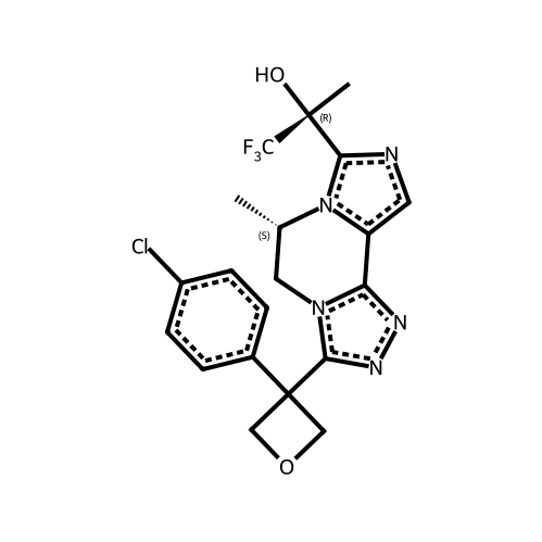 C[C@H]1Cn2c(nnc2C2(c3ccc(Cl)cc3)COC2)-c2cnc([C@@](C)(O)C(F)(F)F)n21